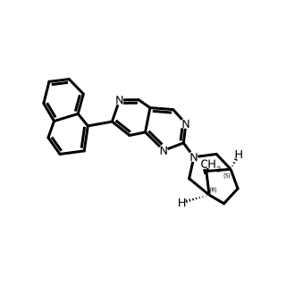 C=C1[C@@H]2CC[C@H]1CN(c1ncc3cnc(-c4cccc5ccccc45)cc3n1)C2